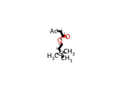 CC(=O)CC(=O)OCC[Si](C)(C)C